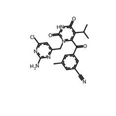 Cc1cc(C#N)cc(C(=O)c2c(C(C)C)c(=O)[nH]c(=O)n2Cc2cc(Cl)nc(N)n2)c1